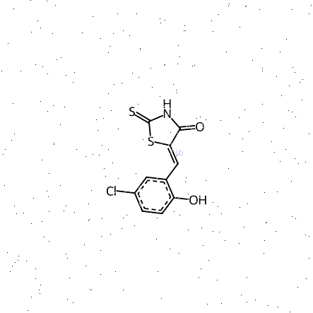 O=C1NC(=S)S/C1=C\c1cc(Cl)ccc1O